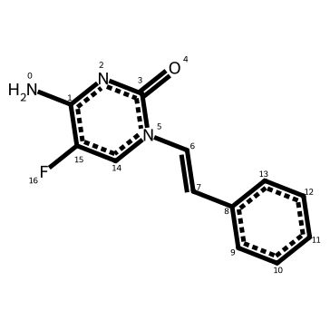 Nc1nc(=O)n(/C=C/c2ccccc2)cc1F